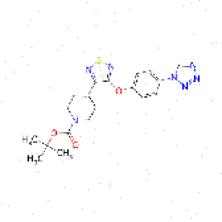 CC(C)(C)OC(=O)N1CC=C(c2nsnc2Oc2ccc(-n3cnnn3)cc2)CC1